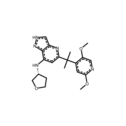 COc1cc(C(C)(C)c2cc(N[C@@H]3CCOC3)c3n[nH]cc3n2)c(OC)cn1